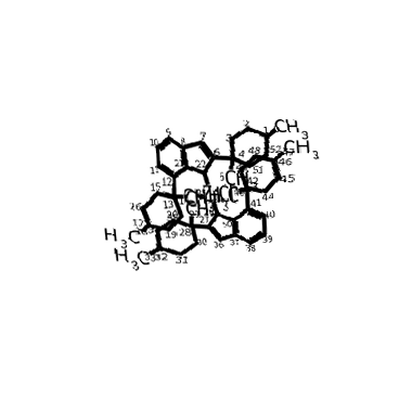 CC1CCC(C)(C2=Cc3cccc(C4(C)CCC(C)CC4)c3[CH]2[Zr]([Cl])([Cl])[CH]2C(C3(C)CCC(C)CC3)=Cc3cccc(C4(C)CCC(C)CC4)c32)CC1